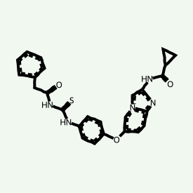 O=C(Cc1ccccc1)NC(=S)Nc1ccc(Oc2ccc3nc(NC(=O)C4CC4)cn3c2)cc1